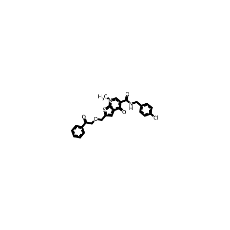 Cn1cc(C(=O)NCc2ccc(Cl)cc2)c(=O)c2cc(COCC(=O)c3ccccc3)sc21